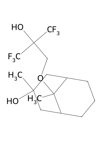 CC1(O)CC2CCCC(C1)C2(C)OCC(O)(C(F)(F)F)C(F)(F)F